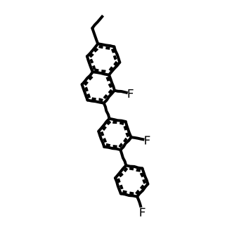 CCc1ccc2c(F)c(-c3ccc(-c4ccc(F)cc4)c(F)c3)ccc2c1